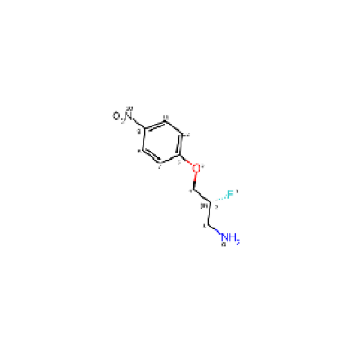 NC[C@@H](F)COc1ccc([N+](=O)[O-])cc1